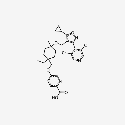 CCC1(COc2ccc(C(=O)O)nc2)CCC(C)(OCc2c(-c3c(Cl)cncc3Cl)noc2C2CC2)CC1